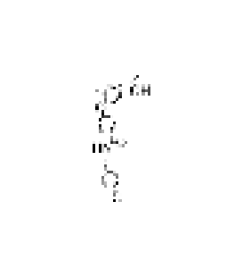 C=C(O)Cc1ccc(Oc2ccc(C(=O)NCCc3ccc(Cl)cc3)cc2)c(C)c1